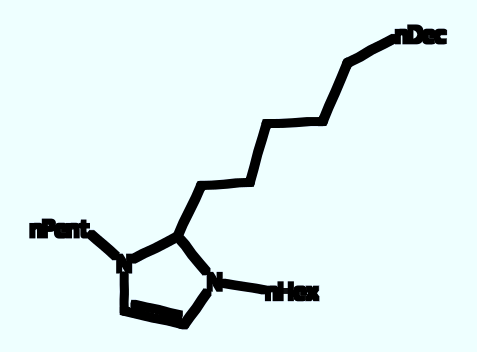 CCCCCCCCCCCCCCCC1N(CCCCC)C=CN1CCCCCC